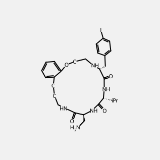 CC(C)[C@H]1NC(=O)[C@@H](Cc2ccc(I)cc2)NCCOc2ccccc2CCCNC(=O)[C@H](CN)NC1=O